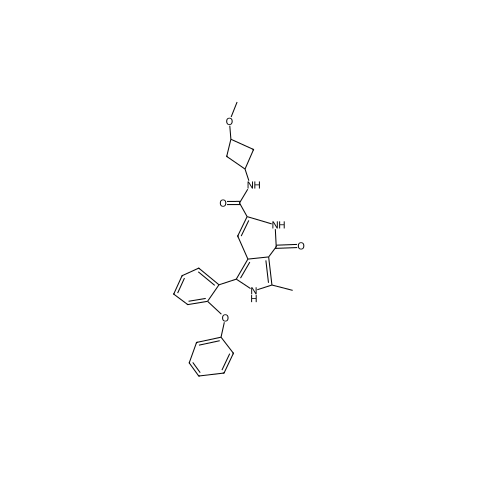 COC1CC(NC(=O)c2cc3c(-c4ccccc4Oc4ccccc4)[nH]c(C)c3c(=O)[nH]2)C1